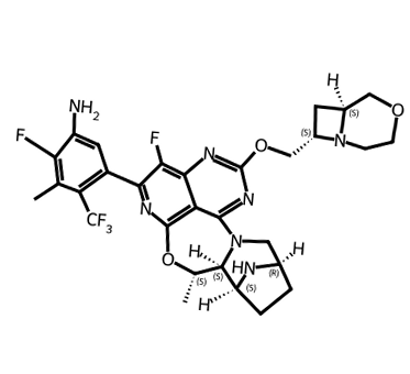 Cc1c(F)c(N)cc(-c2nc3c4c(nc(OC[C@@H]5C[C@H]6COCCN65)nc4c2F)N2C[C@H]4CC[C@H](N4)[C@H]2[C@H](C)O3)c1C(F)(F)F